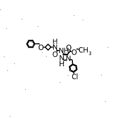 CCOC(=O)C1=C(NC(=O)NC2CC(OCc3ccccc3)C2)NCN1Cc1ccc(Cl)cc1